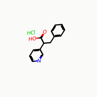 Cl.O=C(O)C(Cc1ccccc1)c1cccnc1